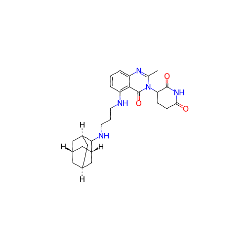 Cc1nc2cccc(NCCCNC3[C@H]4C[C@@H]5C[C@@H](C[C@H]3C5)C4)c2c(=O)n1C1CCC(=O)NC1=O